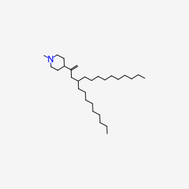 C=C(CC(CCCCCCCCC)CCCCCCCCCC)C1CCN(C)CC1